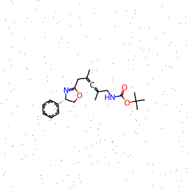 CC(=C=C(C)CC1=N[C@@H](c2ccccc2)CO1)CNC(=O)OC(C)(C)C